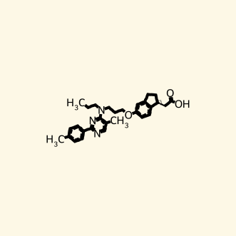 CCCN(CCCOc1ccc2c(c1)CC[C@H]2CC(=O)O)c1nc(-c2ccc(C)cc2)ncc1C